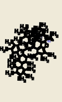 B=C(B)/C(B)=C(B)\C(C(=B)c1c(/C(B)=C(/B)C)oc2c(B)c(B)c(B)c(-c3nc(-c4c(B)c(B)c(B)c(B)c4B)nc(-n4c5c(B)c(B)c(B)c(B)c5c5c(B)c(-c6c(B)c(B)c(B)c(B)c6B)c(B)c(B)c54)n3)c12)=C(\B)C